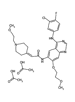 CC(=O)O.CC(=O)O.COCCOc1cc2ncnc(Nc3ccc(F)c(Cl)c3)c2cc1NC(=O)C=C1CCN(CCOC)CC1